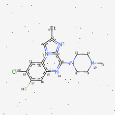 CCc1cn2c(n1)c(N1CCN(C)CC1)nc1cc(F)c(Cl)cc12